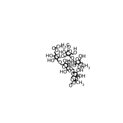 CC[C@H]1C(O)C(O)[C@H](COC[C@@H]2C(CO)O[C@@H](COC)C(O)[C@@H]2COC[C@H]2OC(COC(C)=O)[C@@H](O)[C@@H](O)C2COC[C@@H]2OC(C(=O)O)[C@@H](COC[C@@H]3OC4COC(C)(OC=O)O[C@H]4[C@@H](O)C3O)[C@@H](O)C2O)O[C@H]1CO